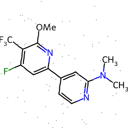 COc1nc(-c2ccnc(N(C)C)c2)cc(F)c1C(F)(F)F